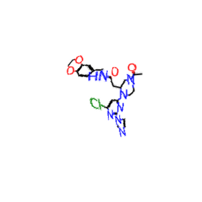 CC(=O)N1CCN(c2cc(Cl)nc(-n3ccnc3)n2)C(CC(=O)NCc2ccc3c(c2)OCCO3)C1